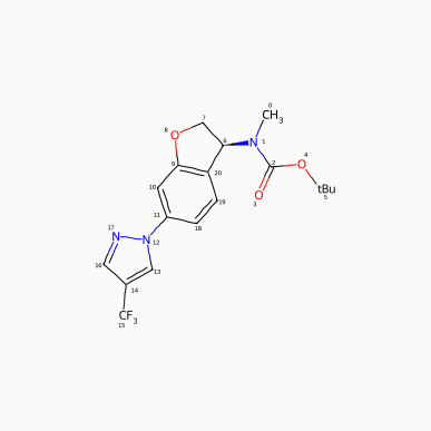 CN(C(=O)OC(C)(C)C)[C@@H]1COc2cc(-n3cc(C(F)(F)F)cn3)ccc21